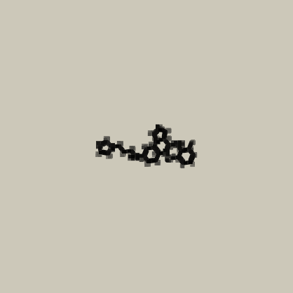 Cc1cccc(Cl)c1Nc1nc2ccc(NCCCn3ccnc3)cc2n2cncc12